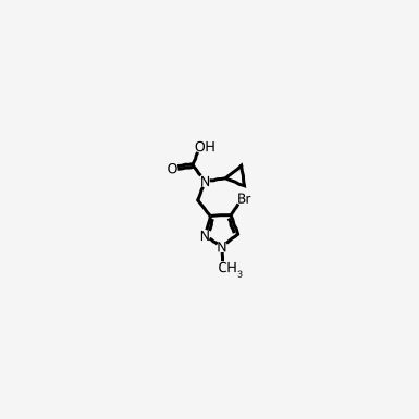 Cn1cc(Br)c(CN(C(=O)O)C2CC2)n1